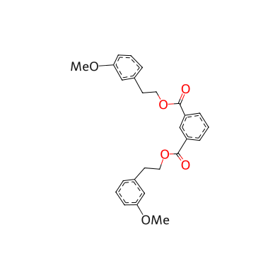 COc1cccc(CCOC(=O)c2cccc(C(=O)OCCc3cccc(OC)c3)c2)c1